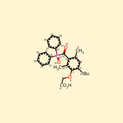 Cc1cc(C(C)(C)C)c(OCC(=O)O)c(C)c1C(=O)P(=O)(c1ccccc1)c1ccccc1